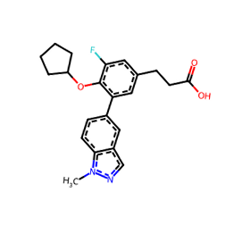 Cn1ncc2cc(-c3cc(CCC(=O)O)cc(F)c3OC3CCCC3)ccc21